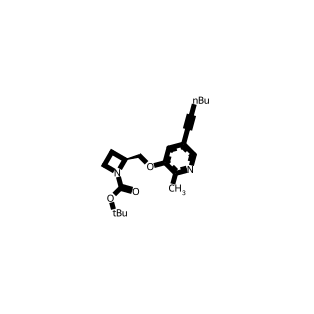 CCCCC#Cc1cnc(C)c(OC[C@@H]2CCN2C(=O)OC(C)(C)C)c1